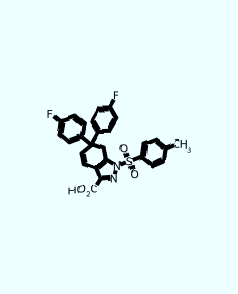 Cc1ccc(S(=O)(=O)n2nc(C(=O)O)c3c2CC(c2ccc(F)cc2)(c2ccc(F)cc2)C=C3)cc1